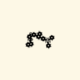 c1ccc(-c2nc(-c3ccccc3)nc(-c3ccc(-c4ccc(-c5ccc6oc7ccc8nc(-c9cccc%10ccccc9%10)oc8c7c6c5)c5ccccc45)cc3)n2)cc1